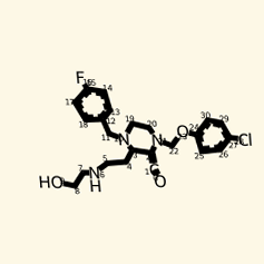 O=C=C1C(CCNCCO)N(Cc2ccc(F)cc2)CCN1COc1ccc(Cl)cc1